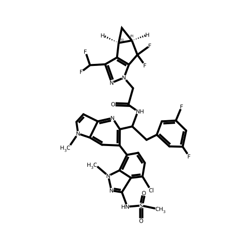 Cn1ccc2nc(C(Cc3cc(F)cc(F)c3)NC(=O)Cn3nc(C(F)F)c4c3C(F)(F)[C@@H]3C[C@H]43)c(-c3ccc(Cl)c4c(NS(C)(=O)=O)nn(C)c34)cc21